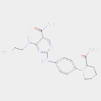 CNC(=O)C1CCCCN1c1ccc(Nc2ncc(C(N)=O)c(NCCOC)n2)cc1